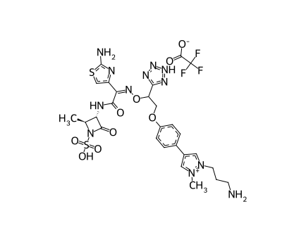 C[C@H]1[C@H](NC(=O)/C(=N\OC(COc2ccc(-c3cn(CCCN)[n+](C)c3)cc2)c2nn[nH]n2)c2csc(N)n2)C(=O)N1S(=O)(=O)O.O=C([O-])C(F)(F)F